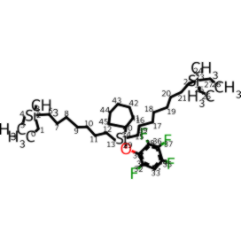 CC[Si](C)(CC)CCCCCCCC[Si](CCCCCCCC[Si](C)(CC)CC)(Oc1c(F)[c]c(F)c(F)c1F)C1CCCCC1